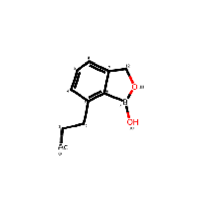 CC(=O)CCc1cccc2c1B(O)OC2